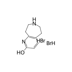 Br.Br.Oc1ccc2c(n1)CCNCC2